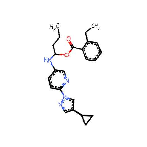 CCCC(Nc1ccc(-n2cc(C3CC3)cn2)nc1)OC(=O)c1ccccc1CC